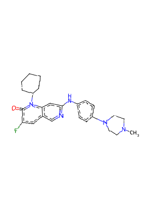 CN1CCN(c2ccc(Nc3cc4c(cn3)cc(F)c(=O)n4C3CCCCC3)cc2)CC1